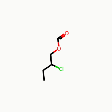 CCC(Cl)COC=O